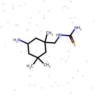 CC1(C)CC(N)CC(C)(CNC(N)=S)C1